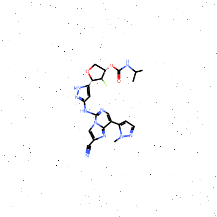 CC(C)NC(=O)O[C@H]1CO[C@@H](c2cc(Nc3ncc(-c4ccnn4C)c4nc(C#N)cn34)n[nH]2)[C@@H]1F